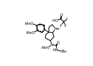 CCCCNC(=O)N(SC)C1CCC2(c3ccc(OC)c(OC)c3)CCN(C)C2C1.O=C(O)C(F)(F)F